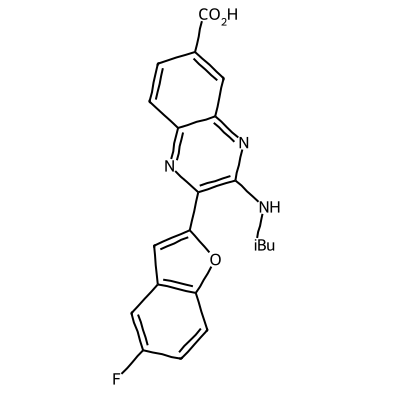 CCC(C)Nc1nc2cc(C(=O)O)ccc2nc1-c1cc2cc(F)ccc2o1